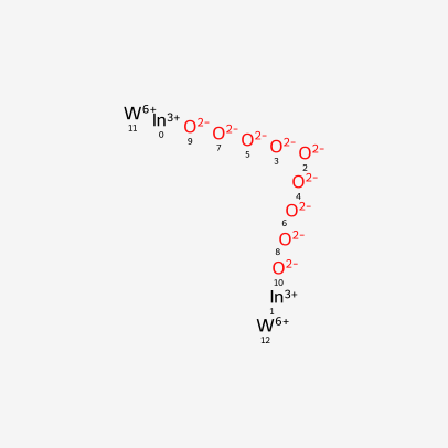 [In+3].[In+3].[O-2].[O-2].[O-2].[O-2].[O-2].[O-2].[O-2].[O-2].[O-2].[W+6].[W+6]